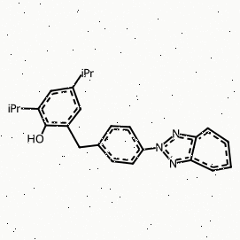 CC(C)c1cc(Cc2ccc(-n3nc4ccccc4n3)cc2)c(O)c(C(C)C)c1